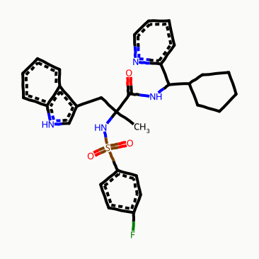 CC(Cc1c[nH]c2ccccc12)(NS(=O)(=O)c1ccc(F)cc1)C(=O)NC(c1ccccn1)C1CCCCC1